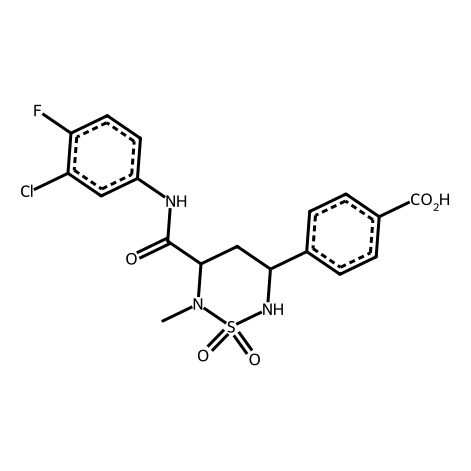 CN1C(C(=O)Nc2ccc(F)c(Cl)c2)CC(c2ccc(C(=O)O)cc2)NS1(=O)=O